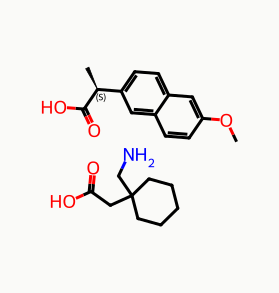 COc1ccc2cc([C@H](C)C(=O)O)ccc2c1.NCC1(CC(=O)O)CCCCC1